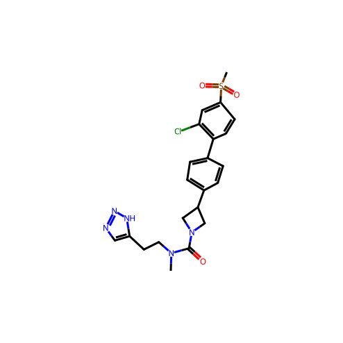 CN(CCc1cnn[nH]1)C(=O)N1CC(c2ccc(-c3ccc(S(C)(=O)=O)cc3Cl)cc2)C1